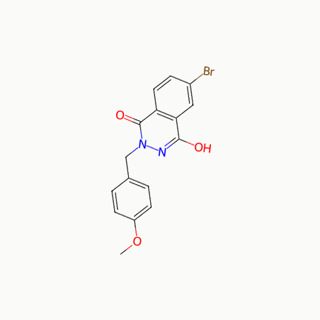 COc1ccc(Cn2nc(O)c3cc(Br)ccc3c2=O)cc1